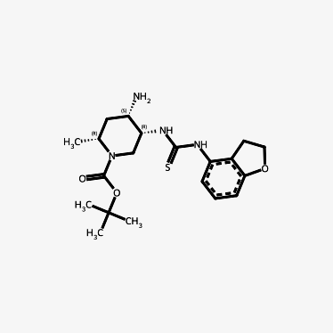 C[C@@H]1C[C@H](N)[C@H](NC(=S)Nc2cccc3c2CCO3)CN1C(=O)OC(C)(C)C